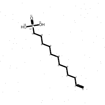 C=CCCCCCCCCCCP(=O)(O)O